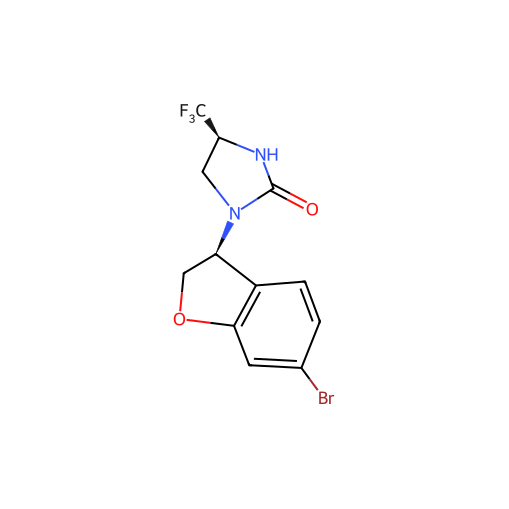 O=C1N[C@H](C(F)(F)F)CN1[C@@H]1COc2cc(Br)ccc21